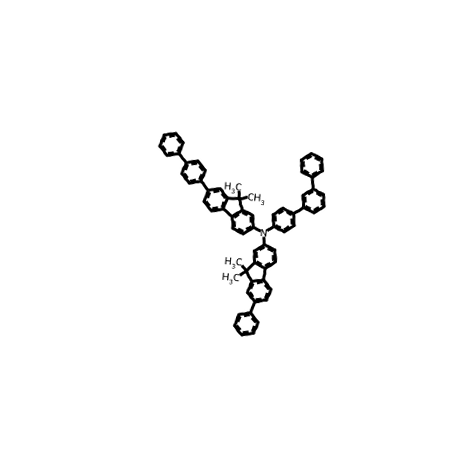 CC1(C)c2cc(-c3ccccc3)ccc2-c2ccc(N(c3ccc(-c4cccc(-c5ccccc5)c4)cc3)c3ccc4c(c3)C(C)(C)c3cc(-c5ccc(-c6ccccc6)cc5)ccc3-4)cc21